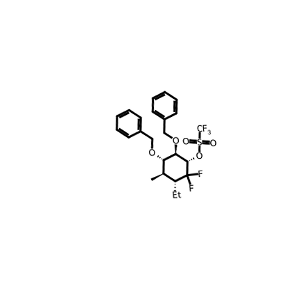 CC[C@@H]1[C@@H](C)[C@H](OCc2ccccc2)[C@@H](OCc2ccccc2)[C@H](OS(=O)(=O)C(F)(F)F)C1(F)F